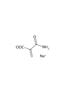 C=C(C(N)=O)C(=O)[O-].[Na+]